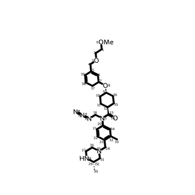 COCCOCC1=CC(O[C@H]2CC[C@H](C(=O)N(CN=[N+]=[N-])c3ccc(CN4CCN[C@@H](C)C4)c(C)c3)CC2)CC=C1